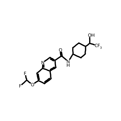 O=C(NC1CCC(C(O)C(F)(F)F)CC1)c1cnc2cc(OC(F)F)ccc2c1